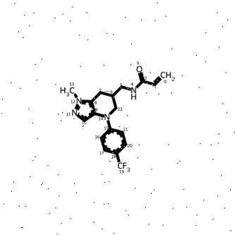 C=CC(=O)NCC1Cc2c(cnn2C)N(c2ccc(C(F)(F)F)cc2)C1